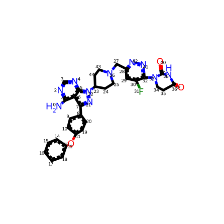 Nc1ncnc2c1c(-c1ccc(Oc3ccccc3)cc1)nn2C1CCN(Cc2cc(F)c(N3CCC(=O)NC3=O)nn2)CC1